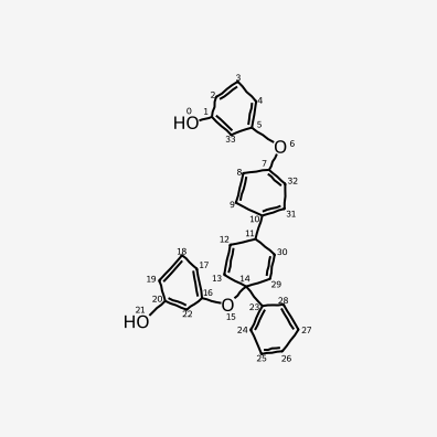 Oc1cccc(Oc2ccc(C3C=CC(Oc4cccc(O)c4)(c4ccccc4)C=C3)cc2)c1